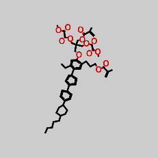 C=C(C)C(=O)OCCCc1cc(-c2ccc(-c3ccc(C4CCC(CCCCC)CC4)cc3)cc2)c(CC)cc1OCC(COC(=O)C(=C)C)(COC(=O)C(=O)OC)COC(=O)C(=O)OC